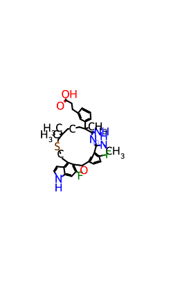 CN/C1=N\C(=N)C(C)(c2cccc(CCC(=O)O)c2)CCCC(C)(C)CSCCc2c(c(F)cc3[nH]ccc23)C(=O)c2ccc(F)c1c2